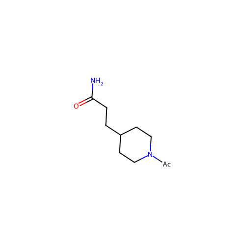 CC(=O)N1CCC(CCC(N)=O)CC1